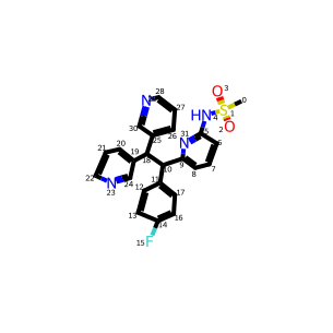 CS(=O)(=O)Nc1cccc(C(c2ccc(F)cc2)C(c2cccnc2)c2cccnc2)n1